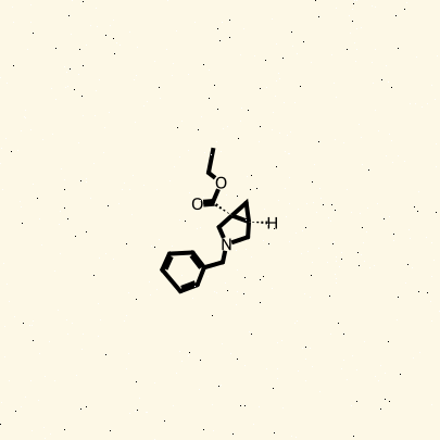 CCOC(=O)[C@]12C[C@H]1CN(Cc1ccccc1)C2